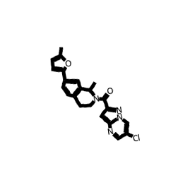 Cc1ccc(-c2ccc3c(c2)C(C)N(C(=O)c2cc4ncc(Cl)cn4n2)CC3)o1